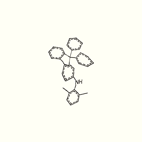 Cc1cccc(C)c1Nc1ccc2c(c1)C(c1ccccc1)(c1ccccc1)c1ccccc1-2